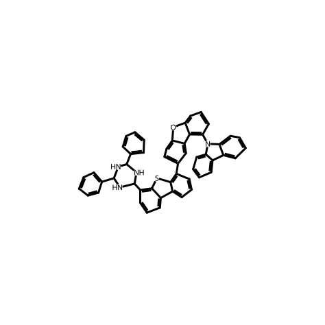 c1ccc(C2NC(c3ccccc3)NC(c3cccc4c3sc3c(-c5ccc6oc7cccc(-n8c9ccccc9c9ccccc98)c7c6c5)cccc34)N2)cc1